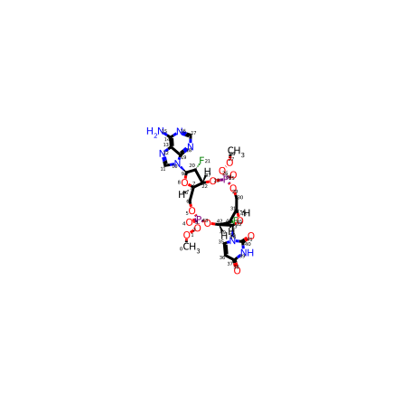 COOP1(=O)OC[C@H]2O[C@@H](n3cnc4c(N)ncnc43)[C@H](F)[C@@H]2OP(=O)(OOC)OC[C@H]2O[C@@H](n3ccc(=O)[nH]c3=O)[C@H](O1)[C@@H]2F